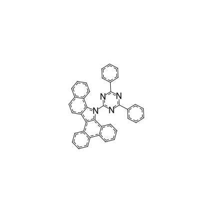 c1ccc(-c2nc(-c3ccccc3)nc(-n3c4c5ccccc5ccc4c4c5ccccc5c5ccccc5c43)n2)cc1